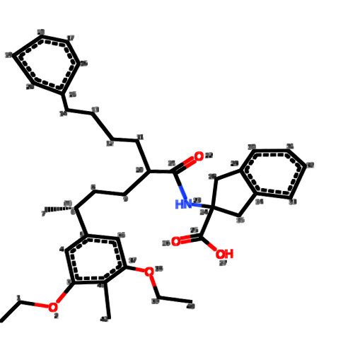 CCOc1cc([C@H](C)CCC(CCCCc2ccccc2)C(=O)NC2(C(=O)O)Cc3ccccc3C2)cc(OCC)c1C